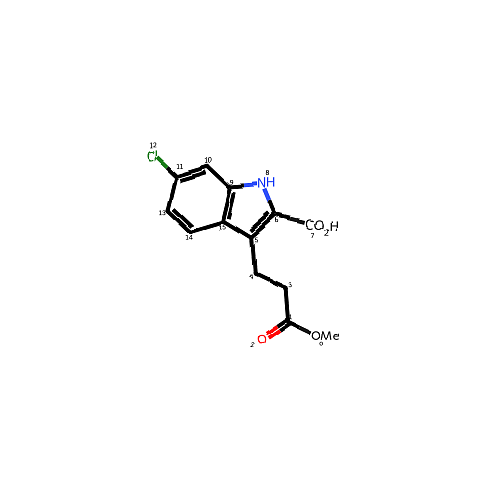 COC(=O)CCc1c(C(=O)O)[nH]c2cc(Cl)ccc12